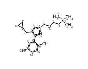 C[Si](C)(C)CCOCn1cc(CC2CC2)c(-c2nc(Cl)ncc2Cl)n1